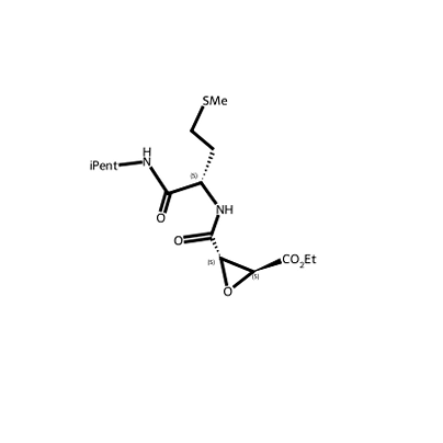 CCCC(C)NC(=O)[C@H](CCSC)NC(=O)[C@H]1O[C@@H]1C(=O)OCC